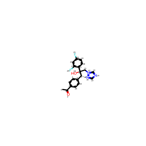 CC(=O)c1ccc([C@@H](C)[C@@](O)(Cn2cncn2)c2ccc(F)cc2F)cc1